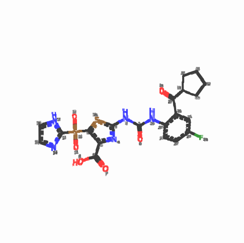 O=C(Nc1nc(C(=O)O)c(S(=O)(=O)c2ncc[nH]2)s1)Nc1ccc(F)cc1C(=O)C1CCCC1